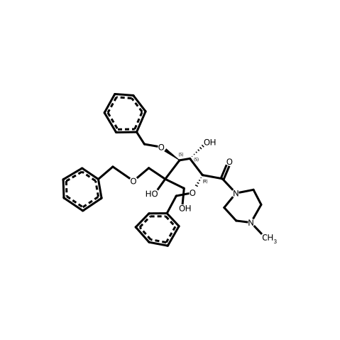 CN1CCN(C(=O)[C@H](OCc2ccccc2)[C@@H](O)[C@H](OCc2ccccc2)C(O)(CO)COCc2ccccc2)CC1